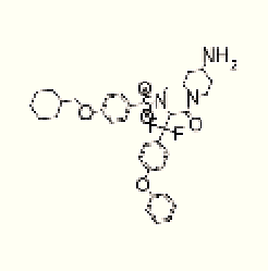 CN([C@H](C(=O)N1CCC(N)CC1)C(F)(F)c1ccc(Oc2ccccc2)cc1)S(=O)(=O)c1ccc(OCC2CCCCC2)cc1